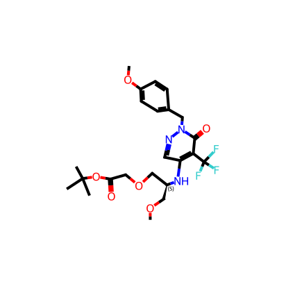 COC[C@@H](COCC(=O)OC(C)(C)C)Nc1cnn(Cc2ccc(OC)cc2)c(=O)c1C(F)(F)F